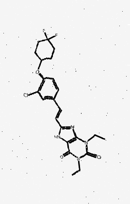 CCn1c(=O)c2[nH]c(C=Cc3ccc(OC4CCC(F)(F)CC4)c(Cl)c3)nc2n(CC)c1=O